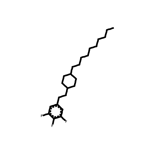 CCCCCCCCCCC1CCC(CCc2cc(F)c(F)c(F)c2)CC1